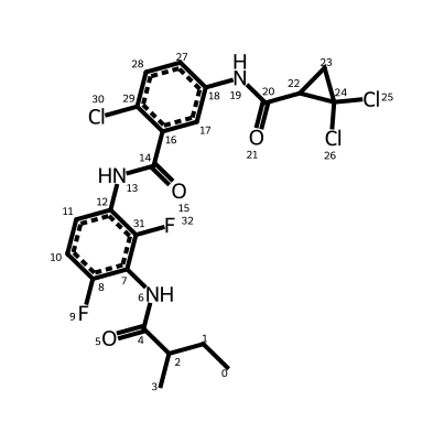 CCC(C)C(=O)Nc1c(F)ccc(NC(=O)c2cc(NC(=O)C3CC3(Cl)Cl)ccc2Cl)c1F